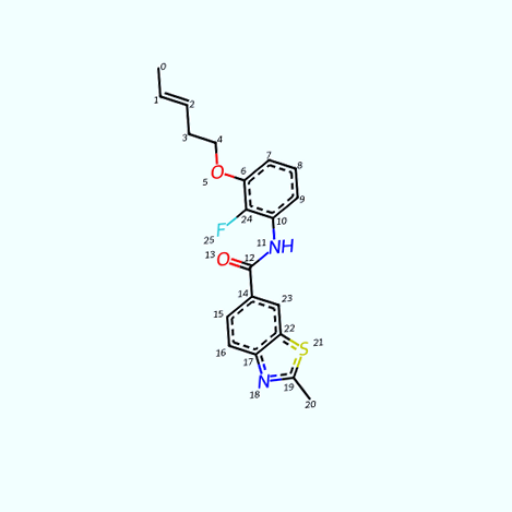 CC=CCCOc1cccc(NC(=O)c2ccc3nc(C)sc3c2)c1F